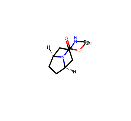 CCNC1C[C@H]2CC[C@@H](C1)N2C(=O)OC(C)(C)C